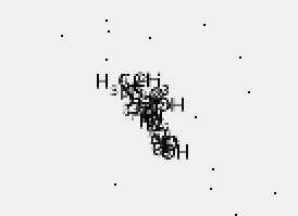 Cc1nc(-c2cccc(-c3nnn(-c4ccc(S(=O)(=O)O)cc4)n3)c2OCC(=O)O)sc1C